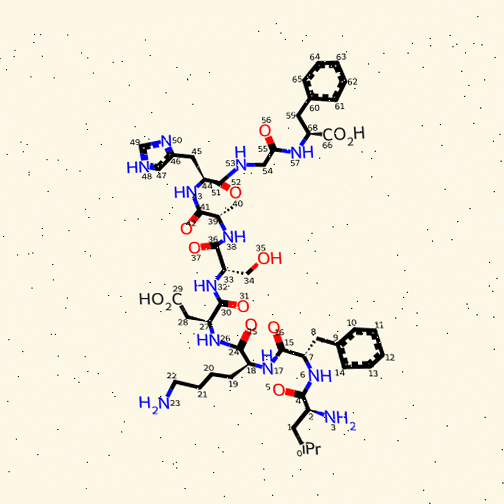 CC(C)C[C@H](N)C(=O)N[C@@H](Cc1ccccc1)C(=O)N[C@@H](CCCCN)C(=O)N[C@@H](CC(=O)O)C(=O)N[C@@H](CO)C(=O)N[C@@H](C)C(=O)N[C@@H](Cc1c[nH]cn1)C(=O)NCC(=O)N[C@@H](Cc1ccccc1)C(=O)O